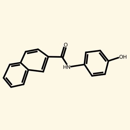 O=C(Nc1ccc(O)cc1)c1ccc2ccccc2c1